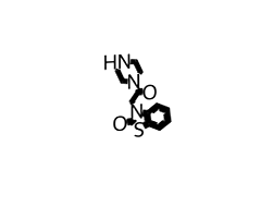 O=C(Cn1c(=O)sc2ccccc21)N1CCNCC1